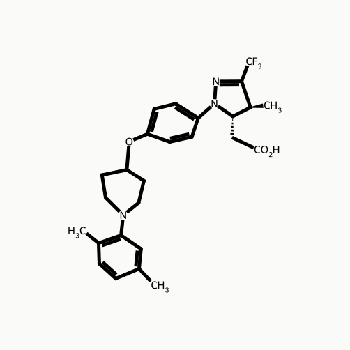 Cc1ccc(C)c(N2CCC(Oc3ccc(N4N=C(C(F)(F)F)[C@@H](C)[C@@H]4CC(=O)O)cc3)CC2)c1